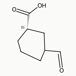 O=CC1CCC[C@H](C(=O)O)C1